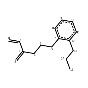 C=CC(=C)CCCc1ccccc1CCC